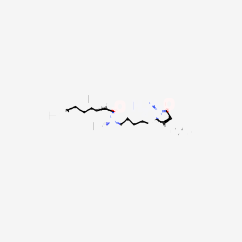 C#CCCCC[C@H](C)C(=O)N(C)CCCCC[C@H]1C(OC)=CC(=O)N1N